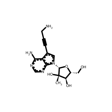 C[C@]1(O)[C@H](O)[C@@H](CO)O[C@H]1n1cc(C#CCN)c2c(N)ncnc21